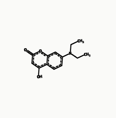 CCN(CC)c1ccc2c(O)cc(=O)oc2c1